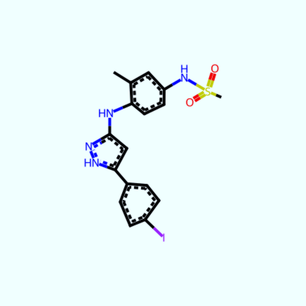 Cc1cc(NS(C)(=O)=O)ccc1Nc1cc(-c2ccc(I)cc2)[nH]n1